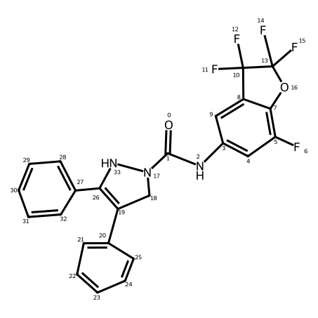 O=C(Nc1cc(F)c2c(c1)C(F)(F)C(F)(F)O2)N1CC(c2ccccc2)=C(c2ccccc2)N1